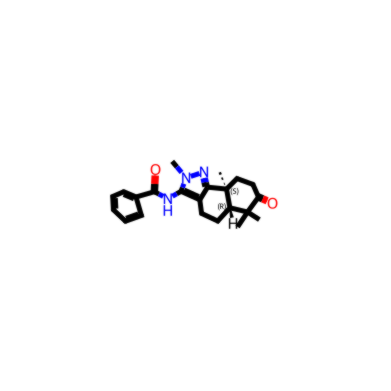 Cn1nc2c(c1NC(=O)c1ccccc1)CC[C@H]1C(C)(C)C(=O)CC[C@]21C